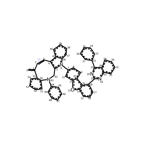 C=C1/C=C\c2c(n(-c3ccc4c(c3)oc3cccc(-c5nc(-c6ccccc6)c6ccccc6n5)c34)c3ccccc23)CN(c2ccccc2)c2ccccc21